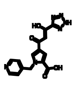 O=C(C=C(O)c1nn[nH]n1)c1cc(C(=O)O)n(Cc2ccncc2)c1